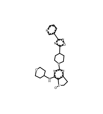 [O-][S+]1CCc2nc(N3CCC(c4nc(-c5cccnc5)no4)CC3)nc(NC3CCOCC3)c21